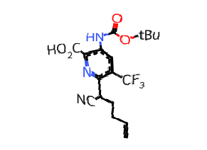 C=CCCC(C#N)c1nc(C(=O)O)c(NC(=O)OC(C)(C)C)cc1C(F)(F)F